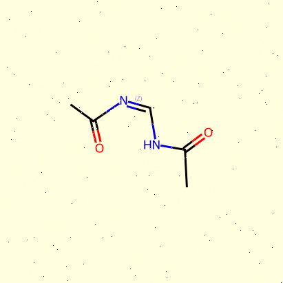 CC(=O)/N=[C]\NC(C)=O